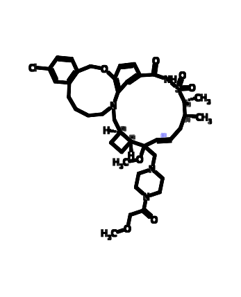 COCC(=O)N1CCN(CC2(OC)/C=C/C[C@H](C)[C@@H](C)S(=O)(=O)NC(=O)c3ccc4c(c3)N(CCCCc3cc(Cl)ccc3CO4)C[C@@H]3CC[C@H]32)CC1